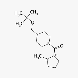 CN1CCC[C@@H]1C(=O)N1CCC(COC(C)(C)C)CC1